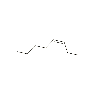 CC[CH]C/C=C\CC